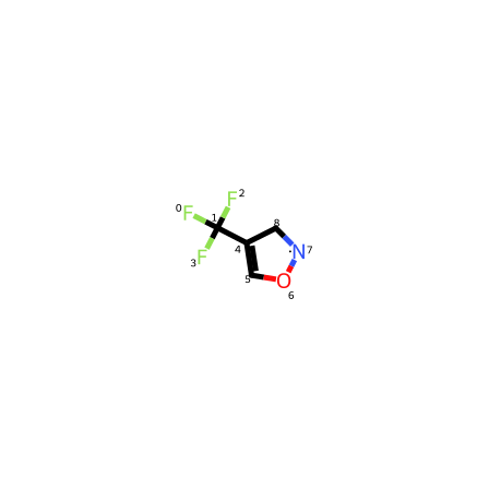 FC(F)(F)C1=CO[N]C1